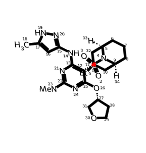 CCS(=O)(=O)N1[C@@H]2CCC[C@H]1C[C@H](c1c(Nc3cc(C)[nH]n3)nc(NC)nc1O[C@@H]1CCOC1)C2